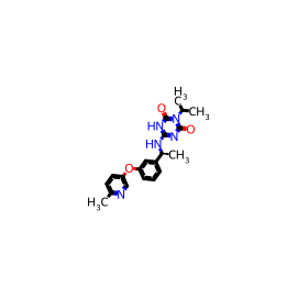 Cc1ccc(Oc2cccc([C@H](C)Nc3nc(=O)n(C(C)C)c(=O)[nH]3)c2)cn1